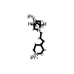 CC(C)N1CCC(CCCN2C[C@H]3C[C@@H]2CN3C(C)C)CC1